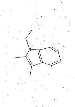 CCn1c(C)c(C)c2[c]cccc21